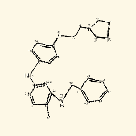 Cc1cnc(Nc2ccc(OCCN3CCCC3)cc2)nc1NCc1ccccc1